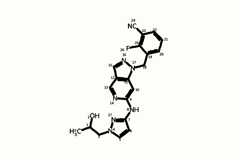 CC(O)Cn1ccc(Nc2cc3c(cn2)cnn3Cc2cccc(C#N)c2F)n1